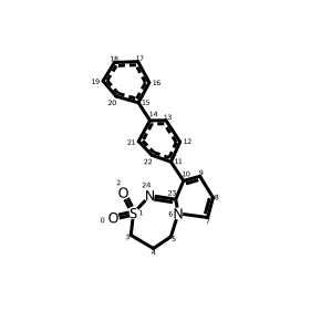 O=S1(=O)CCCN2C=CC=C(c3ccc(-c4ccccc4)cc3)C2=N1